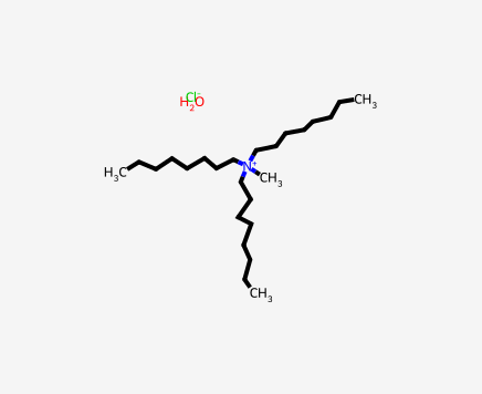 CCCCCCCC[N+](C)(CCCCCCCC)CCCCCCCC.O.[Cl-]